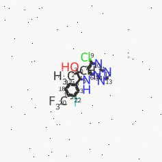 CC(C)(O)C(Nc1cc(Cl)nc2ncnn12)c1ccc(C(F)(F)F)c(F)c1